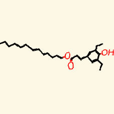 CCCCCCCCCCCCCOC(=O)CCc1cc(CC)c(O)c(CC)c1